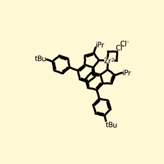 CC(C)C1=Cc2c(-c3ccc(C(C)(C)C)cc3)cccc2[CH]1[Zr+2]1([CH]2C(C(C)C)=Cc3c(-c4ccc(C(C)(C)C)cc4)cccc32)[CH2]C[CH2]1.[Cl-].[Cl-]